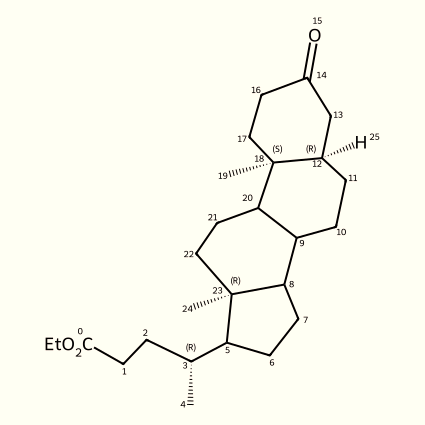 CCOC(=O)CC[C@@H](C)C1CCC2C3CC[C@@H]4CC(=O)CC[C@]4(C)C3CC[C@@]21C